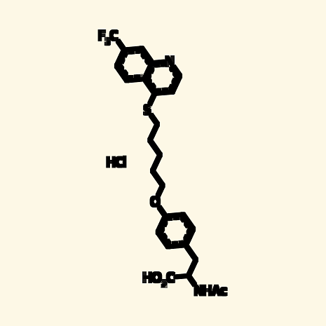 CC(=O)NC(Cc1ccc(OCCCCCSc2ccnc3cc(C(F)(F)F)ccc23)cc1)C(=O)O.Cl